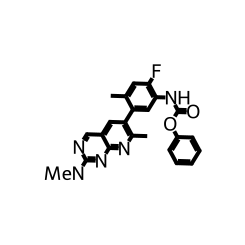 CNc1ncc2cc(-c3cc(NC(=O)Oc4ccccc4)c(F)cc3C)c(C)nc2n1